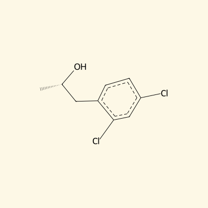 C[C@H](O)Cc1ccc(Cl)cc1Cl